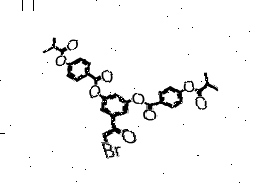 CC(C)C(=O)Oc1ccc(C(=O)Oc2cc(OC(=O)c3ccc(OC(=O)C(C)C)cc3)cc(C(=O)CBr)c2)cc1